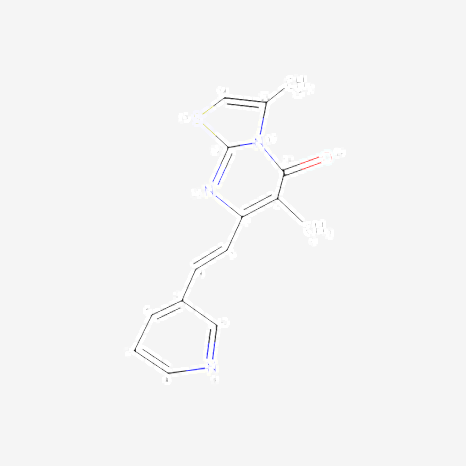 Cc1c(/C=C/c2cccnc2)nc2scc(C)n2c1=O